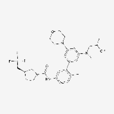 Cc1ccc(NC(=O)N2CC[C@@H](CC(F)(F)F)C2)cc1-c1cc(N(C)CC(C)O)nc(N2CCOCC2)c1